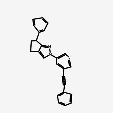 C(#Cc1cncc(-n2cc3c(n2)C(c2ccccc2)CC3)c1)c1ccccc1